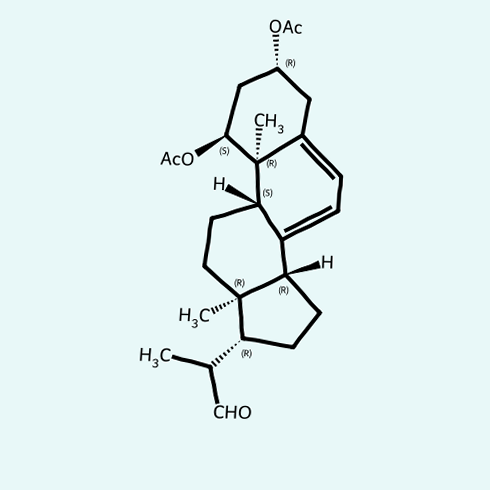 CC(=O)O[C@@H]1CC2=CC=C3[C@@H]4CC[C@H](C(C)C=O)[C@@]4(C)CC[C@@H]3[C@@]2(C)[C@@H](OC(C)=O)C1